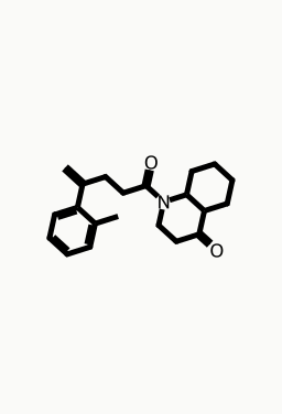 C=C(CCC(=O)N1CCC(=O)C2CCCCC21)c1ccccc1C